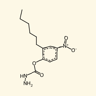 CCCCCCc1cc([N+](=O)[O-])ccc1OC(=O)NN